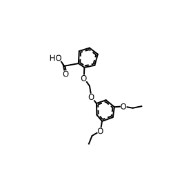 CCOc1cc(OCC)cc(OCOc2ccccc2C(=O)O)c1